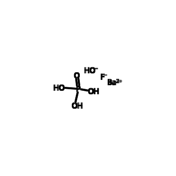 O=P(O)(O)O.[Ba+2].[F-].[OH-]